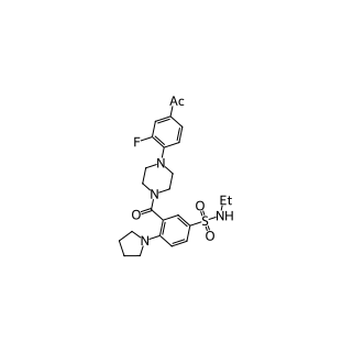 CCNS(=O)(=O)c1ccc(N2CCCC2)c(C(=O)N2CCN(c3ccc(C(C)=O)cc3F)CC2)c1